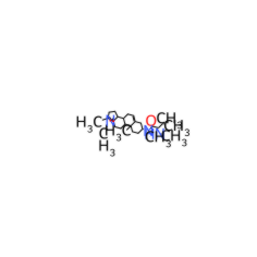 CNC(C(=O)N(C)C1CCC2(C)C(=CCC3C2CCC24CN(C)C(C)C2CCC34)C1)C(C)C